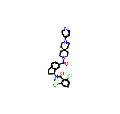 CN(C(=O)c1c(Cl)cccc1Cl)C1CCc2ccc(C(=O)N3CCC4(CC3)CCN(c3ccncc3)CC4)cc21